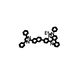 CCc1nc2c3c(-c4ccc(-c5ccc6cc(-c7nc(-c8ccccc8)cc(-c8ccccc8)n7)ccc6c5)cc4)nc4ccccc4c3ccc2n1-c1ccccc1